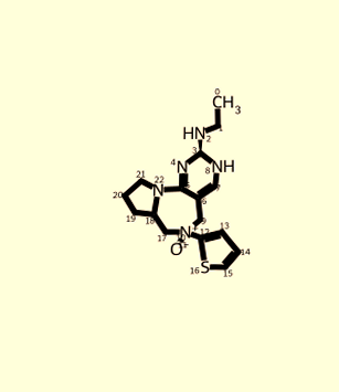 CCN[C@@H]1N=C2C(=CN1)C[N+]([O-])(c1cccs1)CC1CCCN21